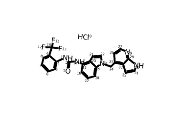 Cl.O=C(Nc1ccccc1C(F)(F)F)Nc1cccc2c1ccn2Cc1ccnc2[nH]ccc12